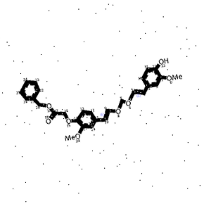 COc1cc(/C=C/OCO/C=C/c2ccc(OCC(=O)OCc3ccccc3)c(OC)c2)ccc1O